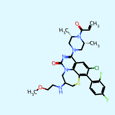 C=CC(=O)N1[C@H](C)CN(c2nc(=O)n3c4c(c(-c5ccc(F)cc5F)c(Cl)cc24)SCC(NCCOC)C3)C[C@@H]1C